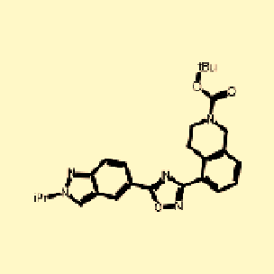 CC(C)n1cc2cc(-c3nc(-c4cccc5c4CCN(C(=O)OC(C)(C)C)C5)no3)ccc2n1